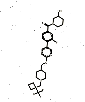 O=C(c1ccc(-c2ccc(OCC3CCN(CC4(C(F)(F)F)CCC4)CC3)nc2)c(F)c1)N1CCCC(O)C1